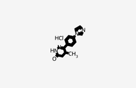 CC1CC(=O)NN=C1c1ccc(-n2ccnc2)cc1.Cl